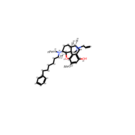 C=CCN1CC[C@]23c4c5c(O)cc(OC)c4O[C@H]2[C@@H](N(CCCCC)CCCCCCc2ccccc2)CC[C@H]3[C@H]1C5